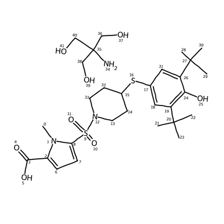 Cn1c(C(=O)O)ccc1S(=O)(=O)N1CCC(Sc2cc(C(C)(C)C)c(O)c(C(C)(C)C)c2)CC1.NC(CO)(CO)CO